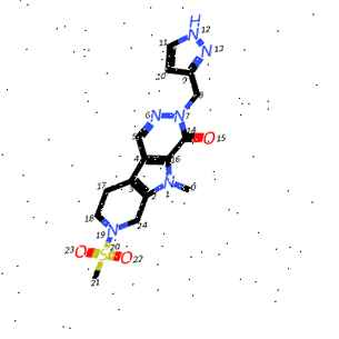 Cn1c2c(c3cnn(Cc4cc[nH]n4)c(=O)c31)CCN(S(C)(=O)=O)C2